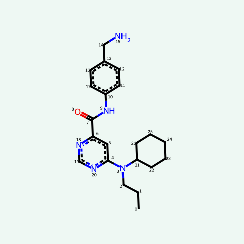 CCCN(c1cc(C(=O)Nc2ccc(CN)cc2)ncn1)C1CCCCC1